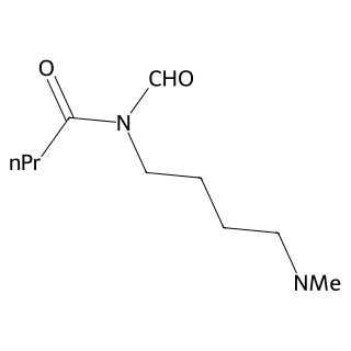 CCCC(=O)N(C=O)CCCCNC